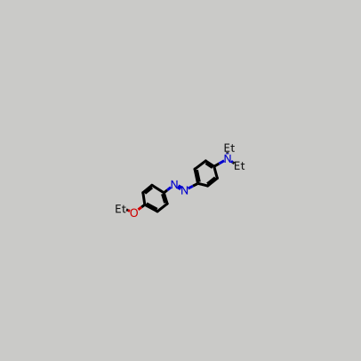 CCOc1ccc(N=Nc2ccc(N(CC)CC)cc2)cc1